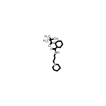 CC(C)(C)C(=O)[C@H]1CCCCC1C(=O)NCCCN1CCCCC1